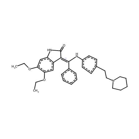 CCOc1cc2c(cc1OCC)/C(=C(/Nc1ccc(CCN3CCCCC3)cc1)c1ccccc1)C(=O)N2